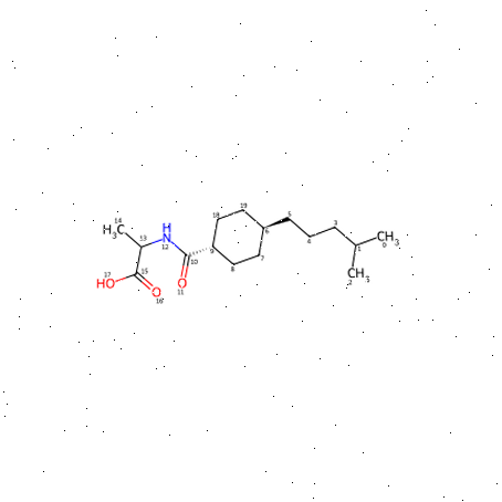 CC(C)CCC[C@H]1CC[C@H](C(=O)NC(C)C(=O)O)CC1